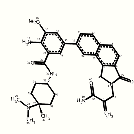 C=C(CN1Cc2c(ccc3ccc(-c4cc(OC)c(N)c(C(=O)N[C@H]5CC[C@@](C)(N(C)C)CC5)c4)cc23)C1=O)C(N)=O